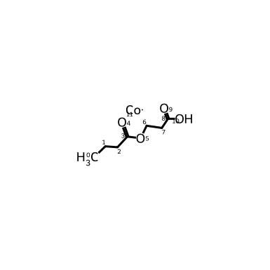 CCCC(=O)OCCC(=O)O.[Co]